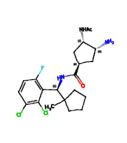 CC(=O)N[C@H]1C[C@H](C(=O)N[C@H](c2c(F)ccc(Cl)c2Cl)C2(C)CCCC2)C[C@H]1N